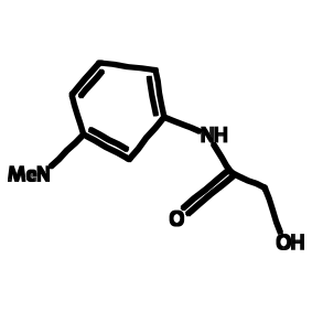 CNc1cccc(NC(=O)CO)c1